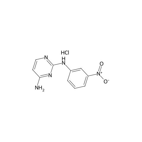 Cl.Nc1ccnc(Nc2cccc([N+](=O)[O-])c2)n1